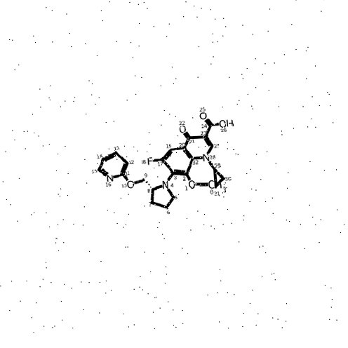 COc1c(N2CCC[C@@H]2COc2ccccn2)c(F)cc2c(=O)c(C(=O)O)cn(C3CC3)c12